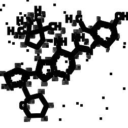 CCc1cc(O)ccc1/N=C(\N)c1cnn2cc(-c3ccnn3C3CCCCO3)cc2c1N[C@@H]1CC[C@](C)(N)C1(C)C